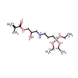 C=C(C)C(=O)OCC(O)CNCCC[Si](OCC)(OCC)OCC